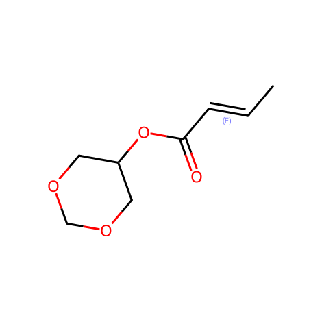 C/C=C/C(=O)OC1COCOC1